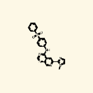 Cn1ccnc1-c1cc2c(Nc3ccc(S(=O)(=O)c4ccccc4)cc3)ncnc2cn1